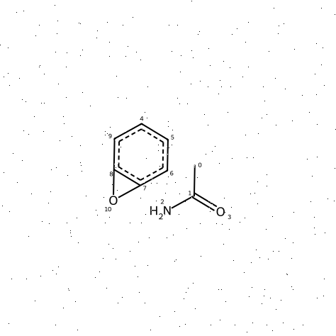 CC(N)=O.c1ccc2c(c1)O2